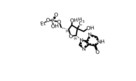 CCOP(=O)(O)OC[C@H]1O[C@@H](n2cnc3c(=O)[nH]cnc32)C(C)(CO)C1O